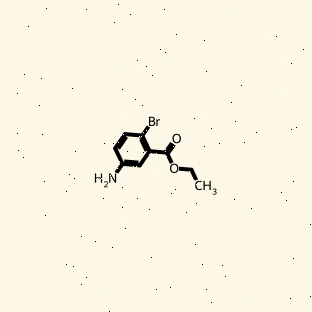 CCOC(=O)c1cc(N)ccc1Br